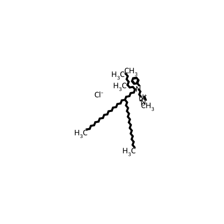 CCCCCCCCCCCCCCCCCCC(CCCCCCCCCCCCCCCCCC)CCCCC(CCC(C)CCCC(C)C)N(CC[n+]1ccn(C)c1)Cc1ccccc1.[Cl-]